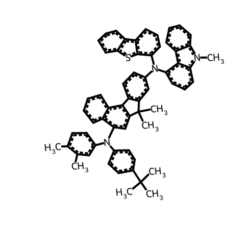 Cc1ccc(N(c2ccc(C(C)(C)C)cc2)c2cc3c(c4ccccc24)-c2ccc(N(c4cccc5c4sc4ccccc45)c4cccc5c4c4ccccc4n5C)cc2C3(C)C)cc1C